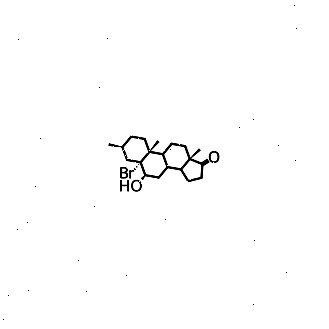 C[C@H]1CC[C@]2(C)C3CC[C@]4(C)C(=O)CCC4C3C[C@@H](O)[C@@]2(Br)C1